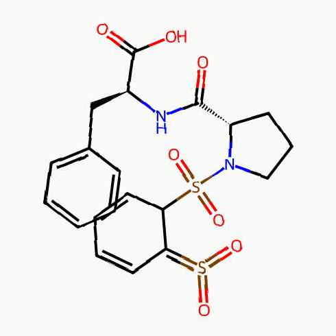 O=C(O)[C@H](Cc1ccccc1)NC(=O)[C@@H]1CCCN1S(=O)(=O)C1C=CC=CC1=S(=O)=O